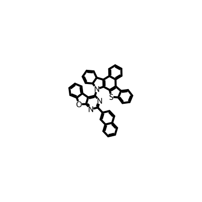 C1=CC2c3c(c4sc5ccccc5c4c4ccccc34)N(c3nc(-c4ccc5ccccc5c4)nc4oc5ccccc5c34)C2C=C1